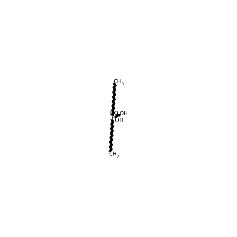 CCCCCCCCCCCCCCCCP(CCCCCCCCCCCCCCCC)C(O)C(O)CO